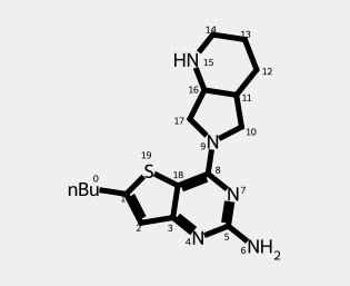 CCCCc1cc2nc(N)nc(N3CC4CCCNC4C3)c2s1